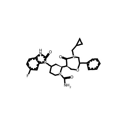 NC(=O)N1CCC(n2c(=O)[nH]c3ccc(F)cc32)C[C@H]1[C@@H]1COC(c2ccccc2)CN(CC2CC2)C1=O